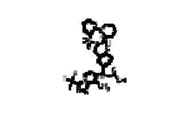 Cc1c([C@H](CC(=O)O)c2ccc(Cl)c(CN3C[C@@H]4CCCCN4c4ncccc4S3(=O)=O)c2)ccn2c(C(F)(F)F)nnc12